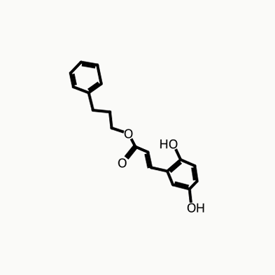 O=C(C=Cc1cc(O)ccc1O)OCCCc1ccccc1